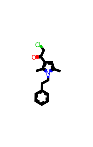 Cc1cc(C(=O)CCl)c(C)n1CCc1ccccc1